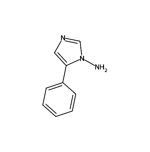 Nn1cncc1-c1ccccc1